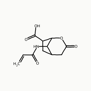 C=CC(=O)NC1C2CC(=O)OC1C(C(=O)O)C2